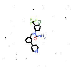 NC(=O)N(Cc1cccc(-c2ccncc2)c1)c1ccc(Cl)c(C(F)(F)F)c1